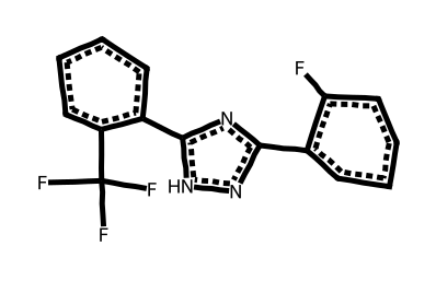 Fc1ccccc1-c1n[nH]c(-c2ccccc2C(F)(F)F)n1